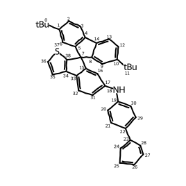 CC(C)(C)c1ccc2c(c1)C1(c3cc(C(C)(C)C)ccc3-2)c2cc(Nc3ccc(-c4ccccc4)cc3)ccc2-c2ccsc21